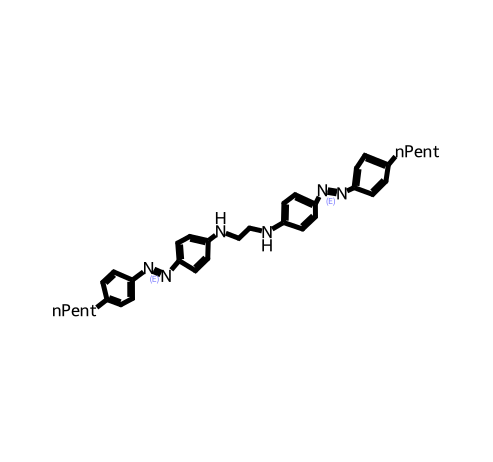 CCCCCc1ccc(/N=N/c2ccc(NCCNc3ccc(/N=N/c4ccc(CCCCC)cc4)cc3)cc2)cc1